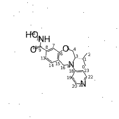 CC(C)[C@H]1COc2cc(C(=O)NO)ccc2CN1c1ccncc1